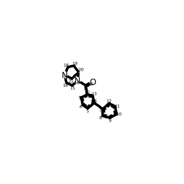 O=C(c1cccc(-c2ccccc2)c1)N1CCN2CCC1C2